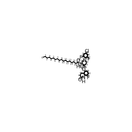 CCCCCCCCCCCCCCCCCC(=O)OC1CN(c2c(F)cc(Cl)cc2F)CC[C@@]1(O)COc1ccc(F)c2c1CCC(=O)N2